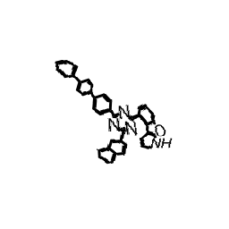 C1=Cc2c(oc3cccc(-c4nc(-c5ccc(-c6ccc(-c7ccccc7)cc6)cc5)nc(-c5ccc6ccccc6c5)n4)c23)NC1